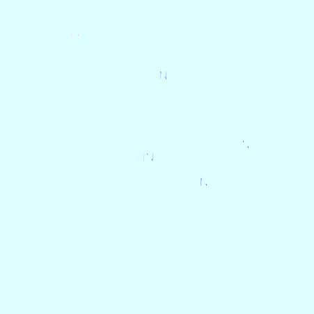 COC(=O)c1cnc2c(c1)[nH]c1nc(Cc3ccccc3)nc(Cl)c12